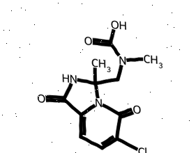 CN(CC1(C)NC(=O)c2ccc(Cl)c(=O)n21)C(=O)O